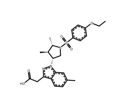 CCOc1ccc(S(=O)(=O)N2C[C@H](n3nc(CC(=O)O)c4ccc(C)cc43)[C@@H](C)[C@@H]2C)cc1